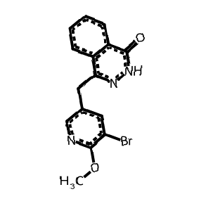 COc1ncc(Cc2n[nH]c(=O)c3ccccc23)cc1Br